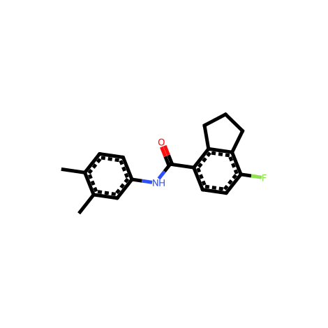 Cc1ccc(NC(=O)c2ccc(F)c3c2CCC3)cc1C